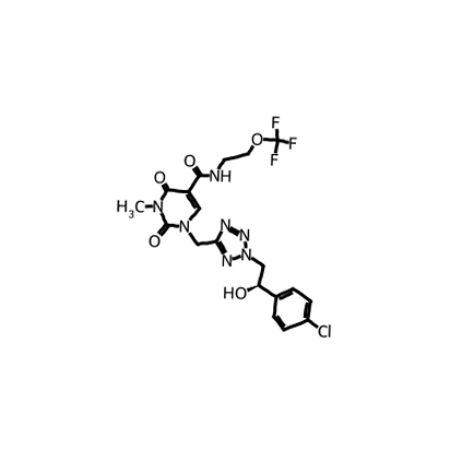 Cn1c(=O)c(C(=O)NCCOC(F)(F)F)cn(Cc2nnn(C[C@H](O)c3ccc(Cl)cc3)n2)c1=O